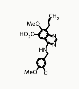 C=CCc1c(OC)c(C(=O)O)cc2c(NCc3ccc(OC)c(Cl)c3)ncnc12